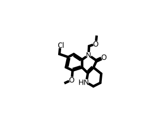 COCn1c(=O)c2c(c3c(OC)cc(CCl)cc31)NCCC2